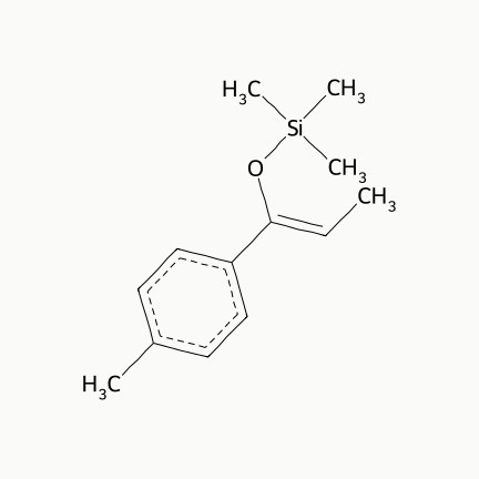 C/C=C(\O[Si](C)(C)C)c1ccc(C)cc1